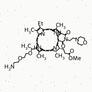 CCC1=C(C)c2cc3[nH]c(cc4nc(c5c6[nH]c(cc1n2)c(C)c6C(=O)N(CCN1CCOCC1)C5=O)[C@@H](CCC(=O)OC)[C@@H]4C)c(C)c3C(C)OCCOCCN